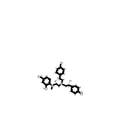 C[C@@H](CN(CCN(C)c1ccc(Cl)cc1Cl)C[C@H](C)c1ccc(I)cc1)c1ccc(Cl)cc1